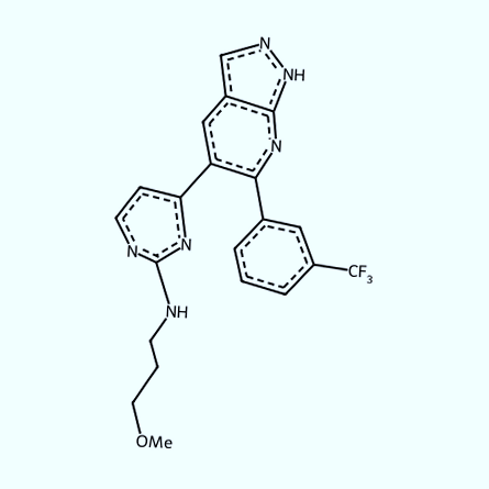 COCCCNc1nccc(-c2cc3cn[nH]c3nc2-c2cccc(C(F)(F)F)c2)n1